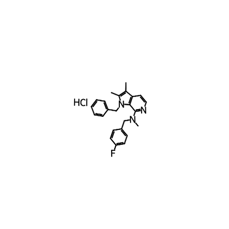 Cc1c(C)n(Cc2ccccc2)c2c(N(C)Cc3ccc(F)cc3)nccc12.Cl